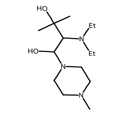 CCN(CC)C(C(O)N1CCN(C)CC1)C(C)(C)O